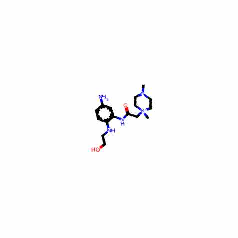 CN1CC[N+](C)(CC(=O)Nc2cc(N)ccc2NCCO)CC1